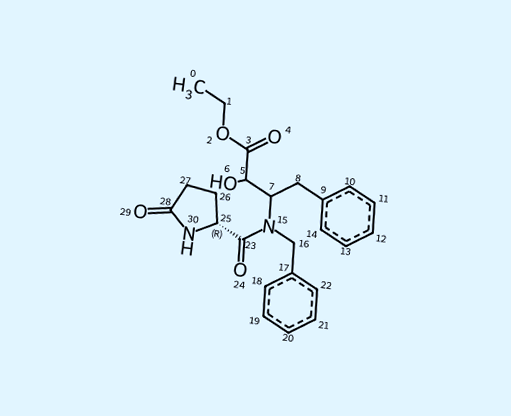 CCOC(=O)C(O)C(Cc1ccccc1)N(Cc1ccccc1)C(=O)[C@H]1CCC(=O)N1